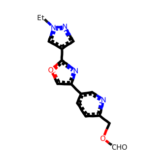 CCn1cc(-c2nc(-c3ccc(COC=O)nc3)co2)cn1